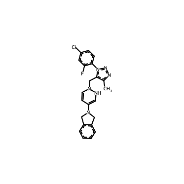 Cc1nnn(-c2ccc(Cl)cc2F)c1CN1C=CC(N2Cc3ccccc3C2)=CN1